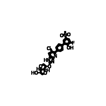 CS(=O)(=O)c1cc(F)c(O)c(-c2ccc(-c3nc4nc(O[C@@H]5CO[C@H]6[C@@H]5OC[C@H]6O)[nH]c4cc3Cl)cc2)c1